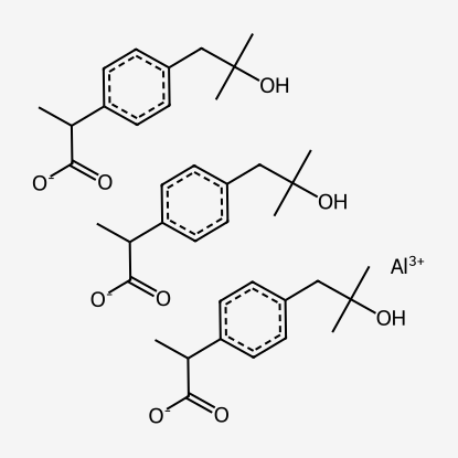 CC(C(=O)[O-])c1ccc(CC(C)(C)O)cc1.CC(C(=O)[O-])c1ccc(CC(C)(C)O)cc1.CC(C(=O)[O-])c1ccc(CC(C)(C)O)cc1.[Al+3]